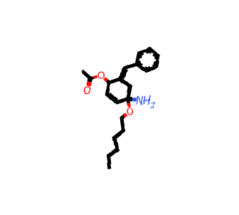 CCCCCCOC1(N)C=CC(OC(C)=O)C(=Cc2ccccc2)C1